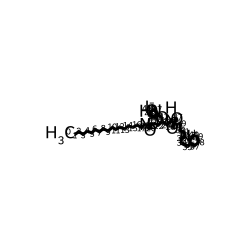 CCCCCCCCCCCCCCCCCCNC(=O)OCC(CNS(=O)(=O)CCC[n+]1cccc2ccccc21)Oc1ccon1.[I-]